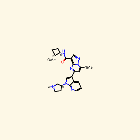 CNc1cc(-c2cn([C@H]3CCN(C)C3)c3ncccc23)nc2c(C(=O)N[C@@H]3CC[C@H]3OC)cnn12